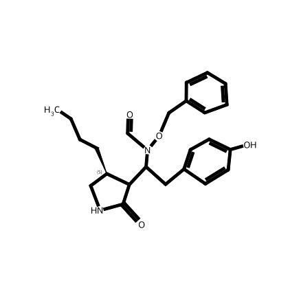 CCCC[C@@H]1CNC(=O)C1C(Cc1ccc(O)cc1)N(C=O)OCc1ccccc1